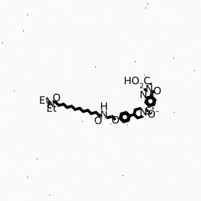 CCN(CC)C(=O)CCCCCCCCCCC(=O)NCCOc1ccc(C2CCN([S+]([O-])c3ccc4c(=O)n(CC(=O)O)cnc4c3)CC2)cc1